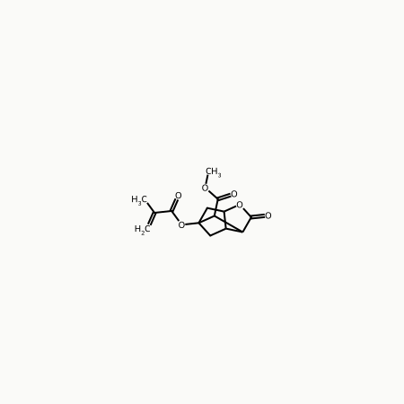 C=C(C)C(=O)OC12CC3OC(=O)C(C3C1)C2C(=O)OC